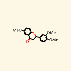 COc1ccc2c(c1)C(=O)CC(c1ccc(OC)c(OC)c1)O2